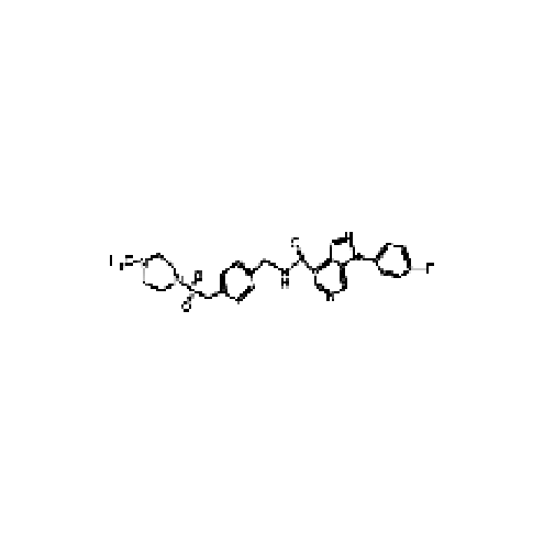 CN1CCN(S(=O)(=O)Cc2ccc(CNC(=O)c3cncc4c3cnn4-c3ccc(F)cc3)cc2)CC1